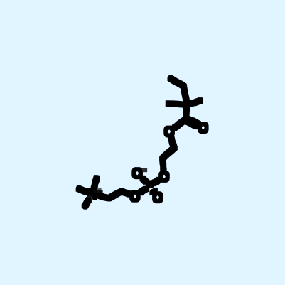 CCC(C)(C)C(=O)OCCOP(=O)([O-])OCC[N+](C)(C)C